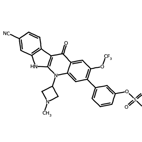 CN1CC(n2c3cc(-c4cccc(OS(=O)(=O)F)c4)c(OC(F)(F)F)cc3c(=O)c3c4ccc(C#N)cc4[nH]c32)C1